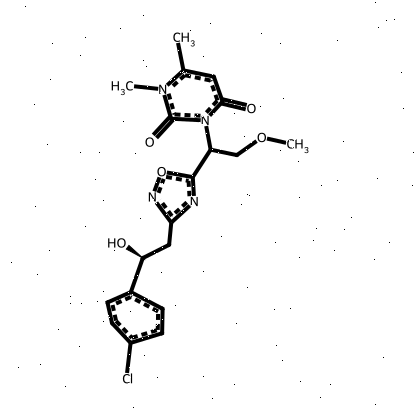 COCC(c1nc(C[C@H](O)c2ccc(Cl)cc2)no1)n1c(=O)cc(C)n(C)c1=O